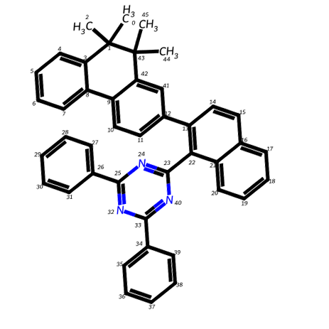 CC1(C)c2ccccc2-c2ccc(-c3ccc4ccccc4c3-c3nc(-c4ccccc4)nc(-c4ccccc4)n3)cc2C1(C)C